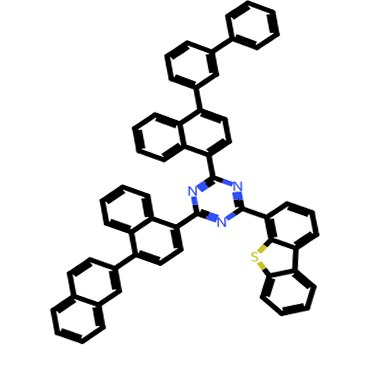 c1ccc(-c2cccc(-c3ccc(-c4nc(-c5ccc(-c6ccc7ccccc7c6)c6ccccc56)nc(-c5cccc6c5sc5ccccc56)n4)c4ccccc34)c2)cc1